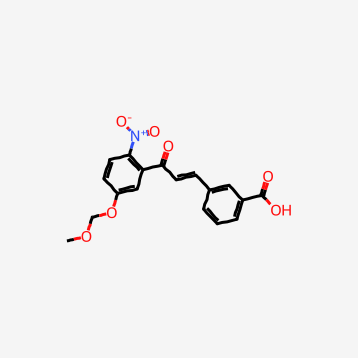 COCOc1ccc([N+](=O)[O-])c(C(=O)/C=C/c2cccc(C(=O)O)c2)c1